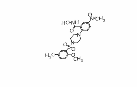 COc1ccc(C)cc1S(=O)(=O)N1CCN(c2ccc([N+](C)=O)cc2C(=O)NO)CC1